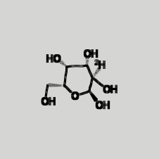 [2H][C@]1(O)[C@@H](O)O[C@H](CO)[C@H](O)[C@@H]1O